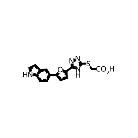 O=C(O)CSc1nnc(-c2ccc(-c3ccc4[nH]ccc4c3)o2)[nH]1